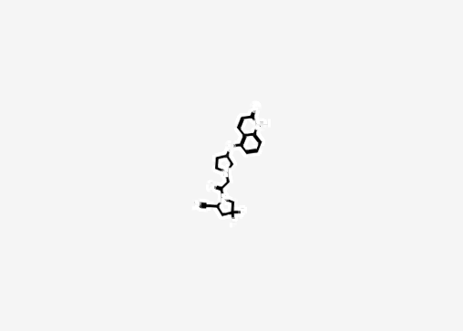 N#CC1CC(F)(F)CN1C(=O)CN1CCC(Oc2cccc3[nH]c(=O)ccc23)C1